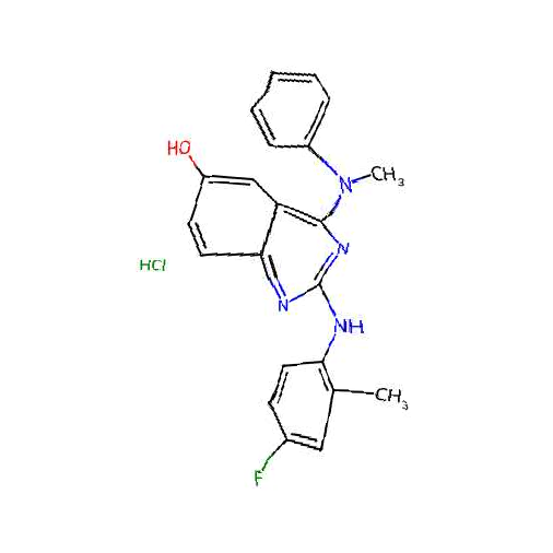 Cc1cc(F)ccc1Nc1nc(N(C)c2ccccc2)c2cc(O)ccc2n1.Cl